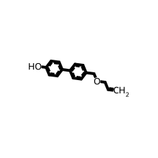 C=CCOCc1ccc(-c2ccc(O)cc2)cc1